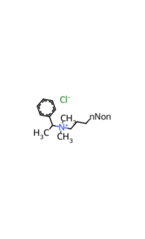 CCCCCCCCCCCC[N+](C)(C)C(C)c1ccccc1.[Cl-]